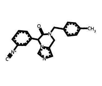 [C-]#[N+]c1cccc(C2C(=O)N(Cc3ccc(C)cc3)Cc3cncn32)c1